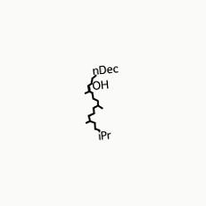 CCCCCCCCCCCCC(O)C=C(C)CCCC(C)CCCC(C)CCCC(C)C